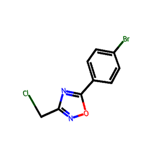 ClCc1noc(-c2ccc(Br)cc2)n1